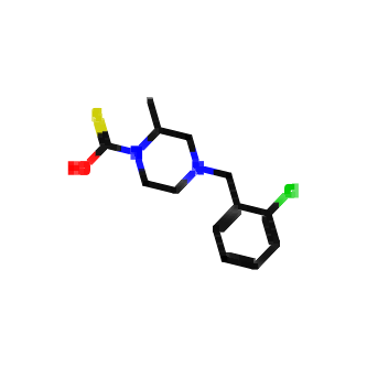 CC1CN(Cc2ccccc2Cl)CCN1C(O)=S